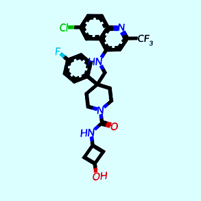 O=C(NC1CC(O)C1)N1CCC(CNc2cc(C(F)(F)F)nc3ccc(Cl)cc23)(c2ccc(F)cc2)CC1